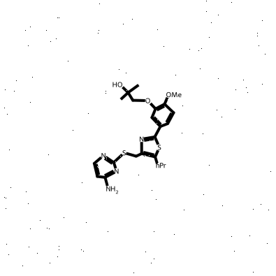 CCCc1sc(-c2ccc(OC)c(OCC(C)(C)O)c2)nc1CSc1nccc(N)n1